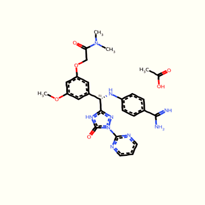 CC(=O)O.COc1cc(OCC(=O)N(C)C)cc([C@H](Nc2ccc(C(=N)N)cc2)c2nn(-c3ncccn3)c(=O)[nH]2)c1